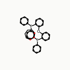 C1=CC(P(c2ccccc2)c2ccccc2Oc2ccccc2P(c2ccccc2)c2ccccc2)=CCCC1